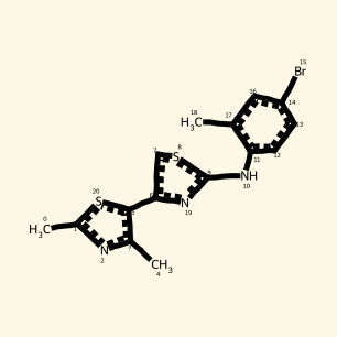 Cc1nc(C)c(-c2csc(Nc3ccc(Br)cc3C)n2)s1